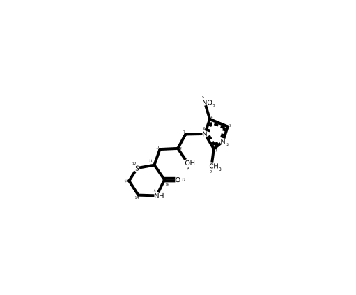 Cc1ncc([N+](=O)[O-])n1CC(O)CC1SCCNC1=O